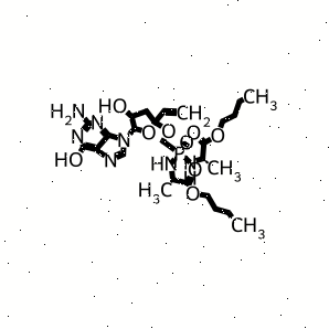 C=CC1(OCP(=O)(N[C@@H](C)C(=O)OCCCC)N[C@@H](C)C(=O)OCCCC)CC(O)C(n2cnc3c(O)nc(N)nc32)O1